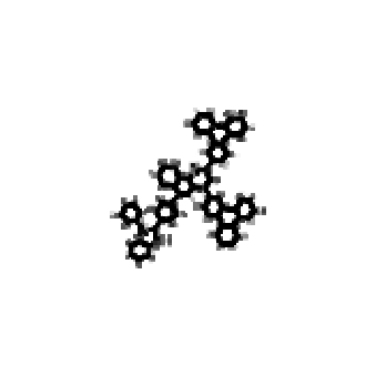 c1ccc(N2c3ccccc3NC2c2ccc(-c3cc4c(-c5ccc6c7ccccc7c7ccccc7c6c5)cc(-c5ccc6c7ccccc7c7ccccc7c6c5)nc4c4ccccc34)cc2)cc1